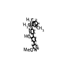 COc1cc(-c2ccc(-c3ccc(N(C)C4C[C@]5(C)CC[C@](C)(C4)N5)nn3)c(O)c2)cnn1